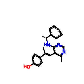 C/C(=C\c1c(C)ncnc1N[C@H](C)c1ccccc1)c1ccc(O)cc1